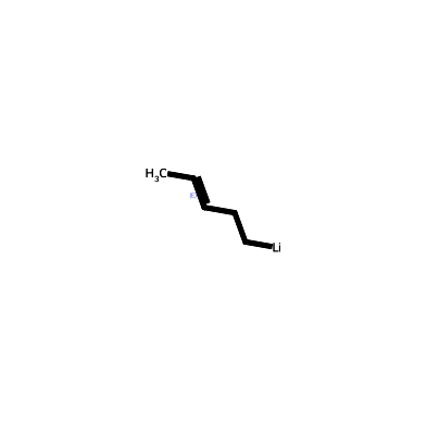 [Li][CH2]C/C=C/C